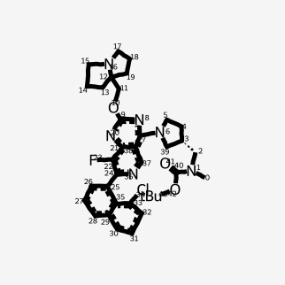 CN(C[C@H]1CCN(c2nc(OCC34CCCN3CCC4)nc3c(F)c(-c4cccc5cccc(Cl)c45)ncc23)C1)C(=O)OC(C)(C)C